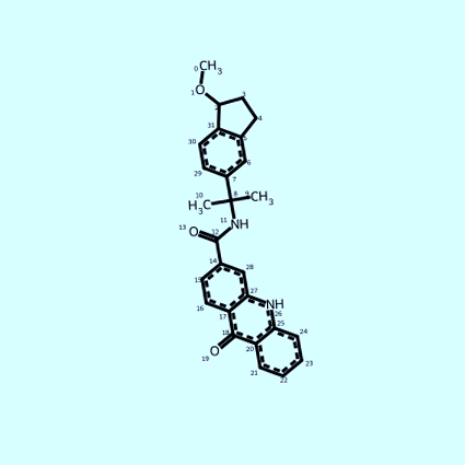 COC1CCc2cc(C(C)(C)NC(=O)c3ccc4c(=O)c5ccccc5[nH]c4c3)ccc21